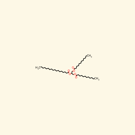 CCCCCCCCCCCCCCCCCC(=O)OC(COC(=O)CCCCCCCCCCC)COC(=O)CCCCCCCCCCC